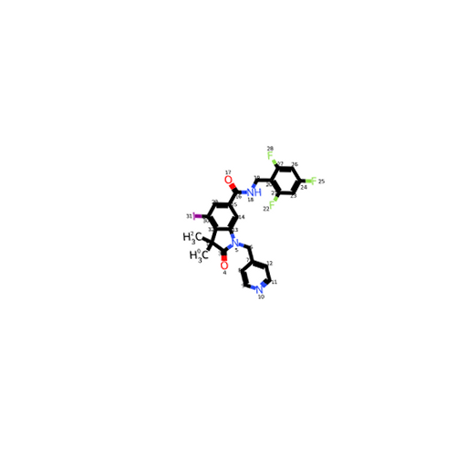 CC1(C)C(=O)N(Cc2ccncc2)c2cc(C(=O)NCc3c(F)cc(F)cc3F)cc(I)c21